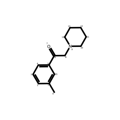 Cc1cccc(C(=O)CN2CCCCC2)c1